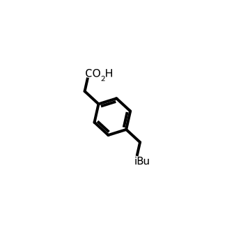 CCC(C)Cc1ccc(CC(=O)O)cc1